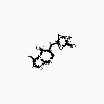 Cc1csc2ncc(Cc3n[nH]c(=O)o3)c(=O)n12